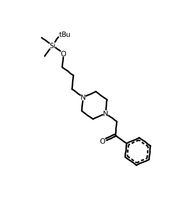 CC(C)(C)[Si](C)(C)OCCCN1CCN(CC(=O)c2ccccc2)CC1